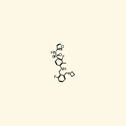 Cc1c(NCc2c(F)cccc2CN2CCC2)ccc(S(=O)(=O)Nc2ccon2)c1F